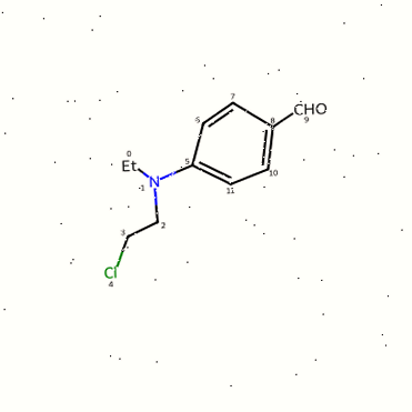 CCN(CCCl)c1ccc(C=O)cc1